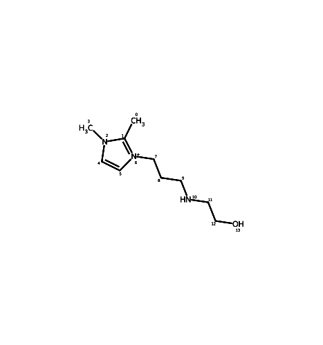 Cc1n(C)cc[n+]1CCCNCCO